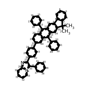 CC1(C)c2ccccc2-c2cc3c(-c4ccccc4)c4ccc(-c5ccc(-c6nc7ccccn7c6-c6ccccc6)cc5)cc4c(-c4ccccc4)c3cc21